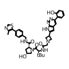 Cc1ncsc1-c1ccc(CNC(=O)[C@@H]2C[C@@H](O)CN2C(=O)[C@@H](NC(=O)CN2CC(c3cc4cc(-c5ccccc5O)nnc4[nH]3)C2)C(C)(C)C)cc1